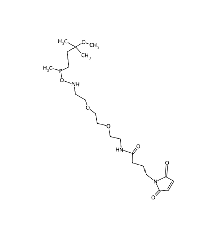 COC(C)(C)CCP(C)ONCCOCCOCCNC(=O)CCCN1C(=O)C=CC1=O